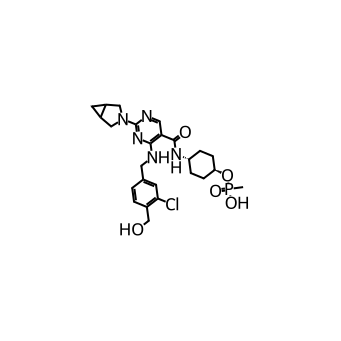 CP(=O)(O)O[C@H]1CC[C@H](NC(=O)c2cnc(N3CC4CC4C3)nc2NCc2ccc(CO)c(Cl)c2)CC1